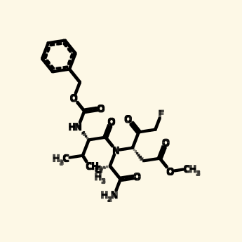 COC(=O)C[C@@H](C(=O)CF)N(C(=O)[C@@H](NC(=O)OCc1ccccc1)C(C)C)[C@@H](C)C(N)=O